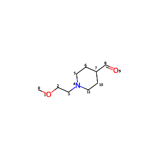 COCCN1CCC(C=O)CC1